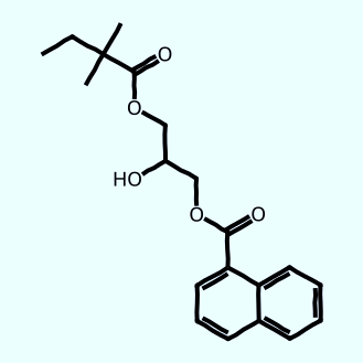 CCC(C)(C)C(=O)OCC(O)COC(=O)c1cccc2ccccc12